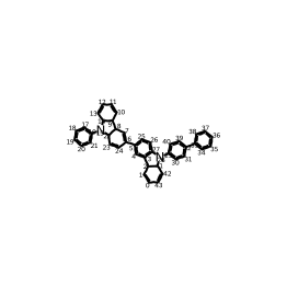 C1=CC2c3cc(C4=CC5C6C=CC=CC6N(c6ccccc6)C5C=C4)ccc3N(c3ccc(-c4ccccc4)cc3)C2C=C1